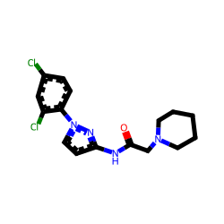 O=C(CN1CCCCC1)Nc1ccn(-c2ccc(Cl)cc2Cl)n1